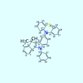 CC1(C)c2ccccc2-c2c1c1cc(N3c4ccccc4Sc4ccccc43)ccc1n2-c1ccccc1